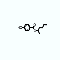 CCCCC(C)OC(=O)c1ccc(O)cc1